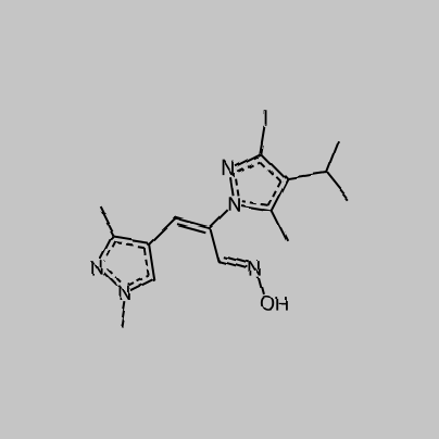 Cc1nn(C)cc1/C=C(\C=N\O)n1nc(I)c(C(C)C)c1C